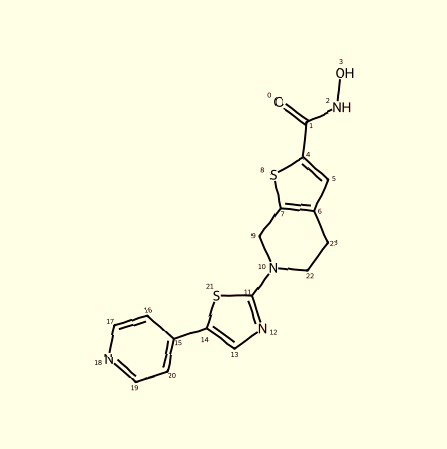 O=C(NO)c1cc2c(s1)CN(c1ncc(-c3ccncc3)s1)CC2